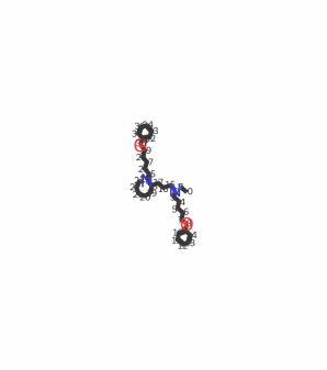 CCN(CCCCCOc1ccccc1)CCCC1CCCCCN1CCCCCOc1ccccc1